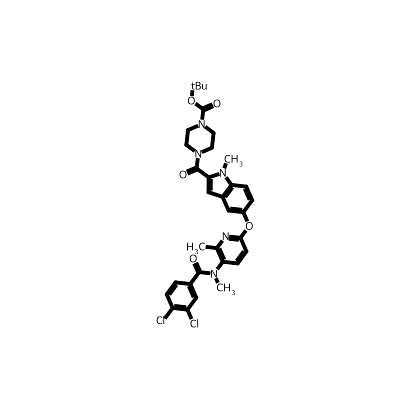 Cc1nc(Oc2ccc3c(c2)cc(C(=O)N2CCN(C(=O)OC(C)(C)C)CC2)n3C)ccc1N(C)C(=O)c1ccc(Cl)c(Cl)c1